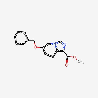 COC(=O)c1ncn2cc(OCc3ccccc3)ccc12